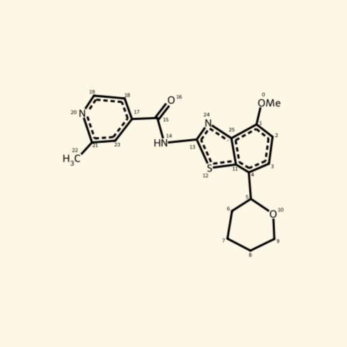 COc1ccc(C2CCCCO2)c2sc(NC(=O)c3ccnc(C)c3)nc12